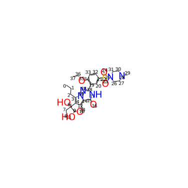 CCCc1c(C(O)(CC)C(=O)O)c(C)c2c(=O)[nH]c(-c3cc(S(=O)(=O)N4CCN(C)CC4)ccc3OCC)nn12